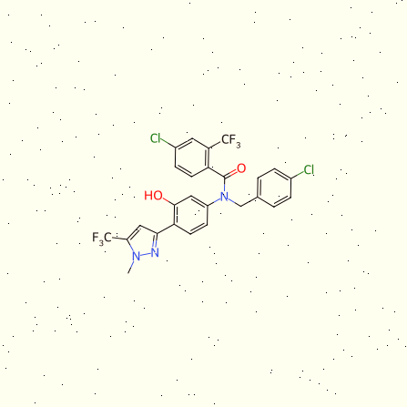 Cn1nc(-c2ccc(N(Cc3ccc(Cl)cc3)C(=O)c3ccc(Cl)cc3C(F)(F)F)cc2O)cc1C(F)(F)F